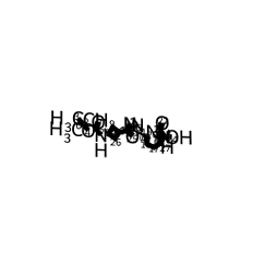 CC(C)(C)OC(=O)NC1CC(c2nnc([C@@H]3CC[C@H]4CN3C(=O)N4O)o2)C1